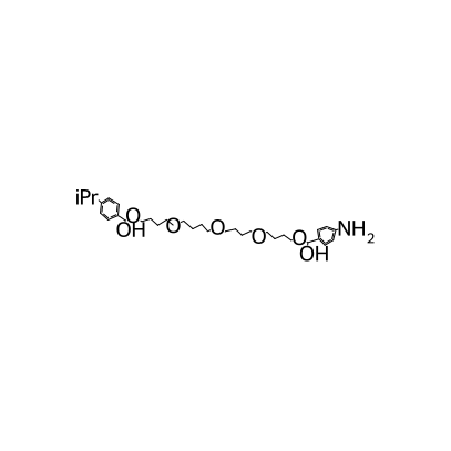 CC(C)c1ccc(C(O)OCCCCOCCCCOCCCCOCCCCOC(O)c2ccc(N)cc2)cc1